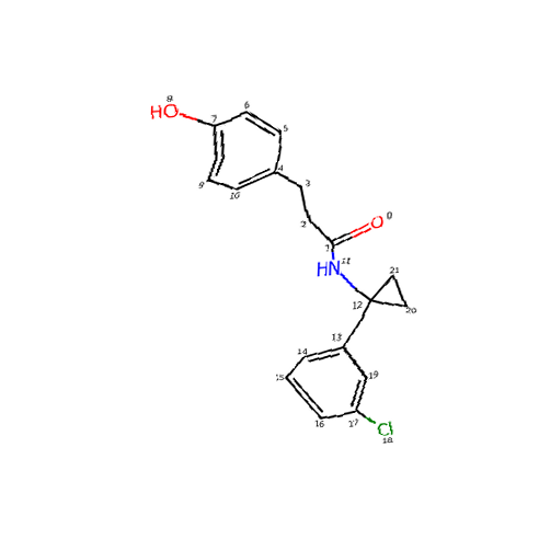 O=C(CCc1ccc(O)cc1)NC1(c2cccc(Cl)c2)CC1